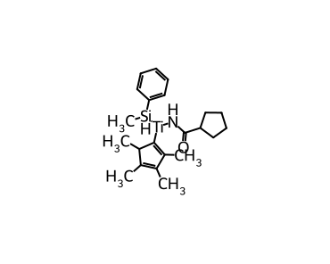 CC1=C(C)C(C)[C]([Ti]([NH]C(=O)C2CCCC2)[SiH](C)c2ccccc2)=C1C